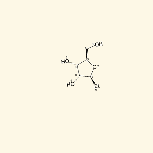 CC[C@@H]1O[C@H](CO)[C@@H](O)[C@H]1O